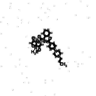 CCCN1CCN(c2ccc(C(=O)N[C@H](C(=O)N3C[C@@H](OC)[C@H]4OCC(=O)[C@H]43)C3CCCCC3)cc2)CC1